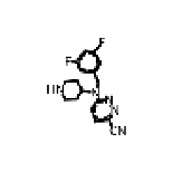 N#Cc1ccc(N(Cc2cc(F)cc(F)c2)C2CCNCC2)nn1